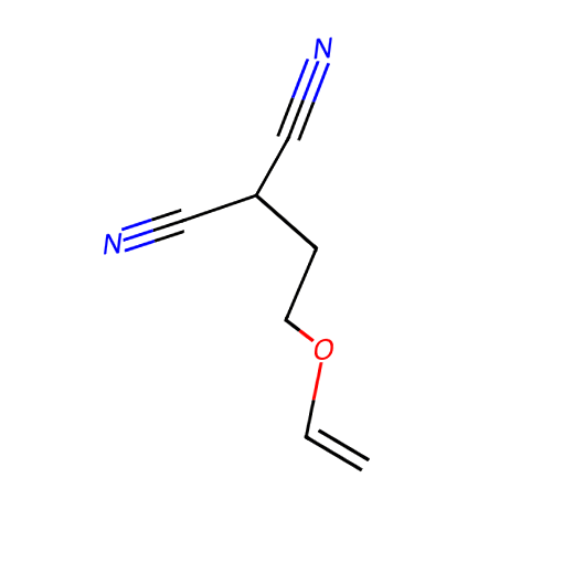 C=COCCC(C#N)C#N